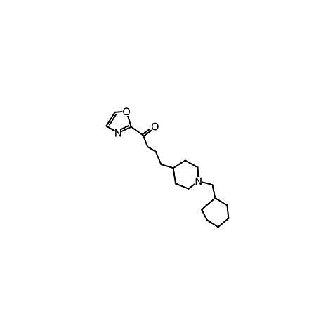 O=C(CCCC1CCN(CC2CCCCC2)CC1)c1ncco1